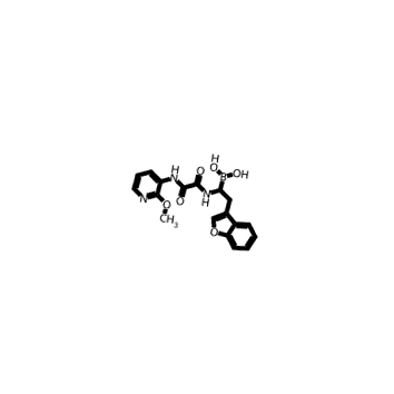 COc1ncccc1NC(=O)C(=O)NC(Cc1coc2ccccc12)B(O)O